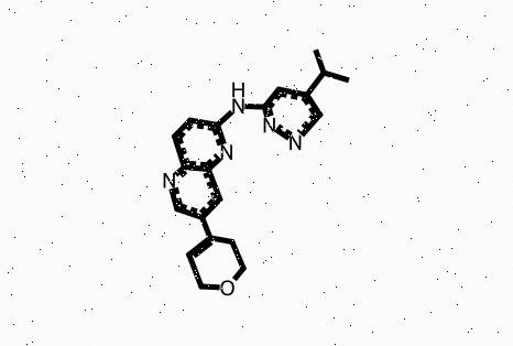 CC(C)c1cnnc(Nc2ccc3ncc(C4=CCOCC4)cc3n2)c1